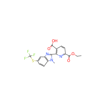 CCOC(=O)c1ccc(C(=O)O)c(-c2nc3cc(SC(F)(F)F)ccc3n2C)n1